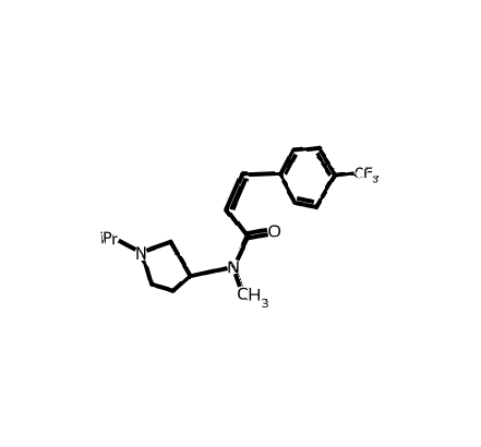 CC(C)N1CCC(N(C)C(=O)/C=C\c2ccc(C(F)(F)F)cc2)C1